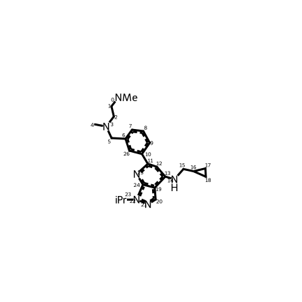 CNCCN(C)Cc1cccc(-c2cc(NCC3CC3)c3cnn(C(C)C)c3n2)c1